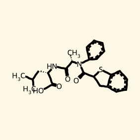 CC(C)C[C@H](NC(=O)[C@H](C)N(C(=O)C1Cc2ccccc2S1)c1ccccc1)C(=O)O